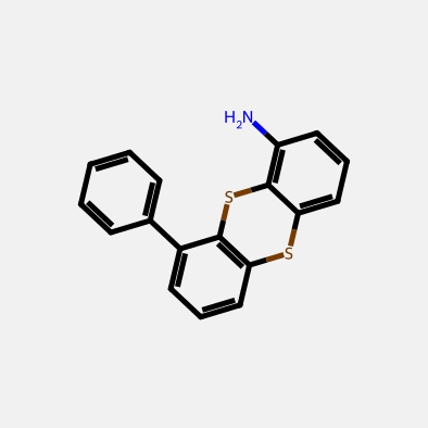 Nc1cccc2c1Sc1c(cccc1-c1ccccc1)S2